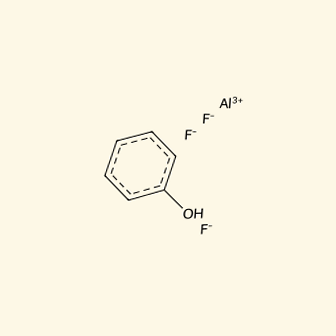 Oc1ccccc1.[Al+3].[F-].[F-].[F-]